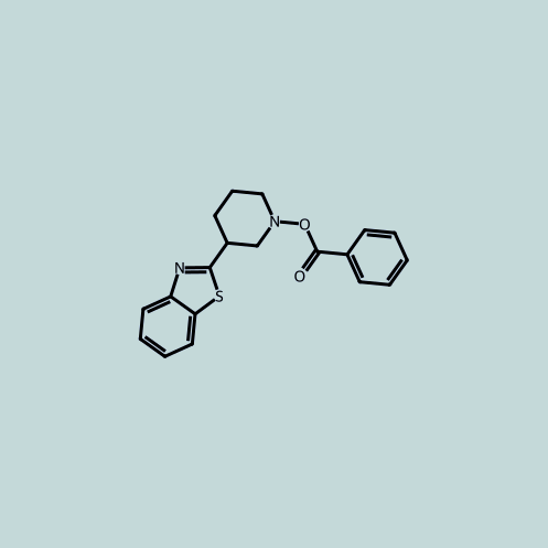 O=C(ON1CCCC(c2nc3ccccc3s2)C1)c1ccccc1